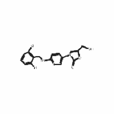 O=C1OC(CO)CN1c1ccc(NCc2c(Cl)cccc2Cl)nc1